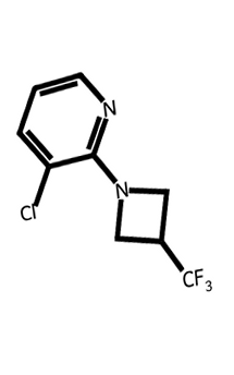 FC(F)(F)C1CN(c2ncccc2Cl)C1